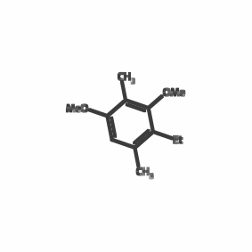 CCc1c(C)cc(OC)c(C)c1OC